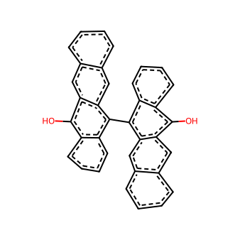 Oc1c2ccccc2c(-c2c3ccccc3c(O)c3cc4ccccc4cc23)c2cc3ccccc3cc12